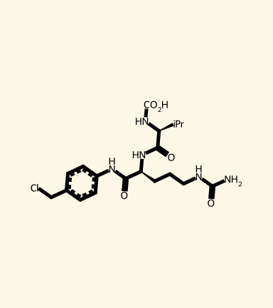 CC(C)[C@H](NC(=O)O)C(=O)N[C@@H](CCCNC(N)=O)C(=O)Nc1ccc(CCl)cc1